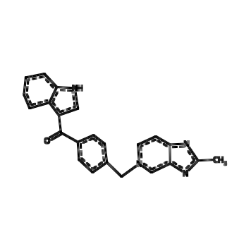 Cc1nc2ccn(Cc3ccc(C(=O)c4c[nH]c5ccccc45)cc3)cc-2n1